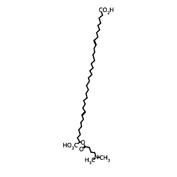 CN(C)CCCC(=O)OC(CCCCCCC=CCCCCCCCCCCCCCCCCCC=CCCCCCCCC(=O)O)C(=O)O